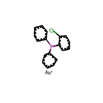 Clc1ccccc1P(c1ccccc1)c1ccccc1.[Au+]